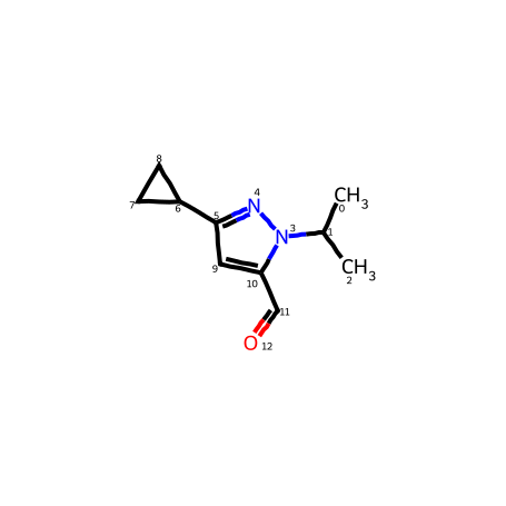 CC(C)n1nc(C2CC2)cc1C=O